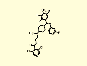 Cc1c(F)cc(C(Oc2cccc(F)c2)C2CCN(C(C)CCNC(=O)c3c(Cl)cncc3Cl)CC2)c(F)c1F